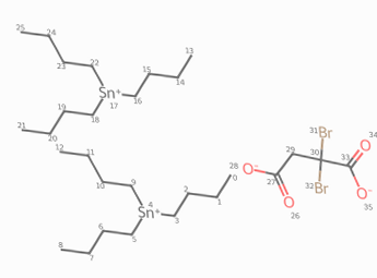 CCC[CH2][Sn+]([CH2]CCC)[CH2]CCC.CCC[CH2][Sn+]([CH2]CCC)[CH2]CCC.O=C([O-])CC(Br)(Br)C(=O)[O-]